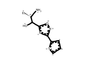 CC[C@H](N)C(O)c1nc(-c2cccs2)no1